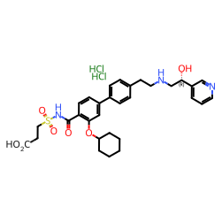 Cl.Cl.O=C(O)CCS(=O)(=O)NC(=O)c1ccc(-c2ccc(CCNC[C@H](O)c3cccnc3)cc2)cc1OC1CCCCC1